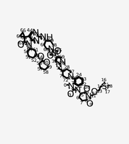 Cn1c(=O)n(C2CCC(=O)N(COCC[Si](C)(C)C)C2=O)c2cccc(N3CCC(Cn4cc(S(=O)(=O)N5CCC(Nc6ncc7c(n6)N([C@H]6CCC[C@H](OC8CCCCO8)C6)C(=O)C76CC6)CC5)cn4)CC3)c21